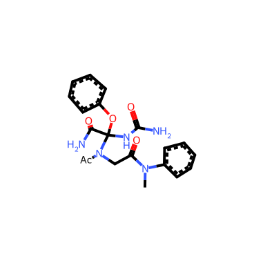 CC(=O)N(CC(=O)N(C)c1ccccc1)C(NC(N)=O)(Oc1ccccc1)C(N)=O